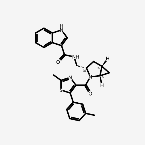 Cc1cccc(-c2sc(C)nc2C(=O)N2[C@H](CNC(=O)c3c[nH]c4ccccc34)C[C@@H]3C[C@@H]32)c1